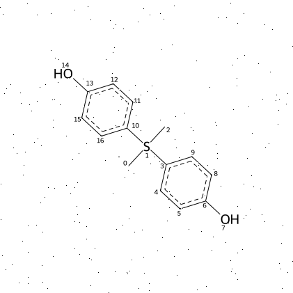 CS(C)(c1ccc(O)cc1)c1ccc(O)cc1